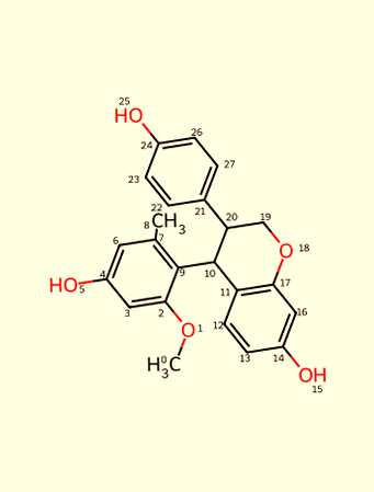 COc1cc(O)cc(C)c1C1c2ccc(O)cc2OCC1c1ccc(O)cc1